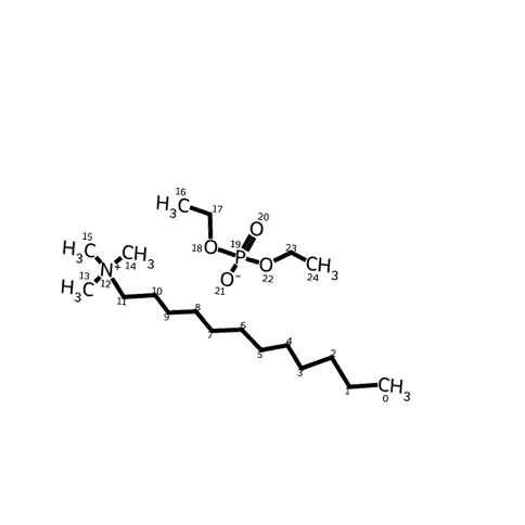 CCCCCCCCCCCC[N+](C)(C)C.CCOP(=O)([O-])OCC